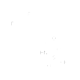 O=C(NS(=O)(=O)C(F)(F)F)c1ccc(F)c(F)c1